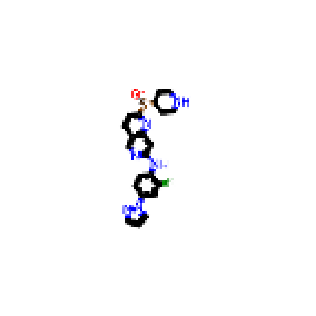 [O-][S@@+](c1ccc2cnc(Nc3ccc(-n4cccn4)cc3F)cc2n1)C1CCNCC1